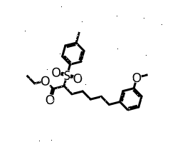 CCOC(=O)C(CCCCCc1cccc(OC)c1)S(=O)(=O)c1ccc(C)cc1